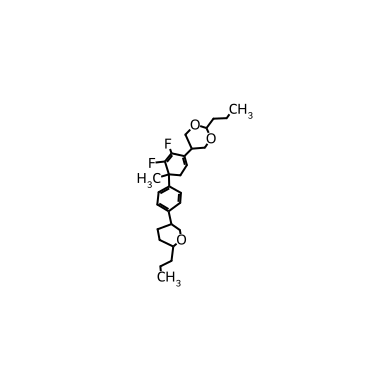 CCCC1CCC(c2ccc(C3(C)CC=C(C4COC(CCC)OC4)C(F)=C3F)cc2)CO1